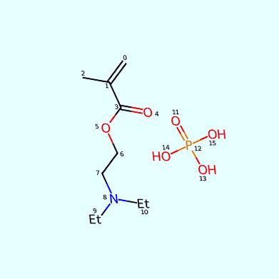 C=C(C)C(=O)OCCN(CC)CC.O=P(O)(O)O